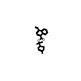 C=Cc1ccc(C(=O)OC(C)(C)C2CC=C(C)CC2)c2ccccc12